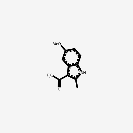 COc1ccc2[nH]c(C)c(C(=O)C(F)(F)F)c2c1